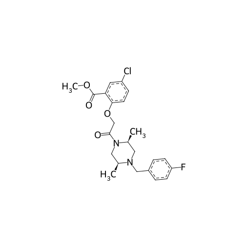 COC(=O)c1cc(Cl)ccc1OCC(=O)N1C[C@H](C)N(Cc2ccc(F)cc2)C[C@@H]1C